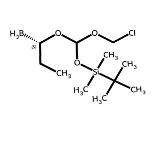 B[C@@H](CC)OC(OCCl)O[Si](C)(C)C(C)(C)C